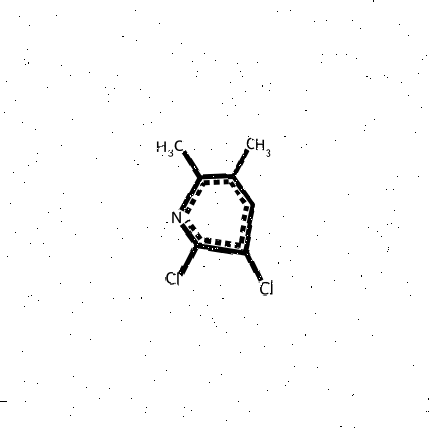 Cc1cc(Cl)c(Cl)nc1C